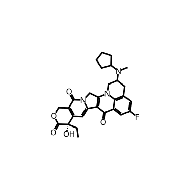 CC[C@@]1(O)C(=O)OCc2c1cc1n(c2=O)Cc2c-1c(=O)c1cc(F)cc3c1n2CC(N(C)C1CCCC1)C3